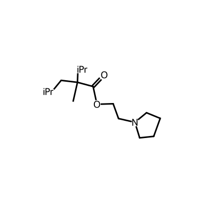 CC(C)CC(C)(C(=O)OCCN1CCCC1)C(C)C